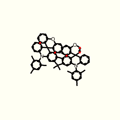 Cc1cc(C)c(N2c3ccccc3C3(c4ccccc4Oc4ccccc43)c3cc4c(cc32)C(C)(C)c2cc3c(cc2-4)C2(c4ccccc4Oc4ccccc42)c2ccccc2N3c2c(C)cc(C)cc2C)c(C)c1